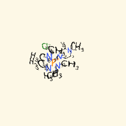 CN1CCN([P+](N(C)C)(N(C)C)N(C)C)CC1.[Cl-]